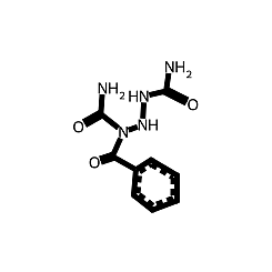 NC(=O)NNN(C(N)=O)C(=O)c1ccccc1